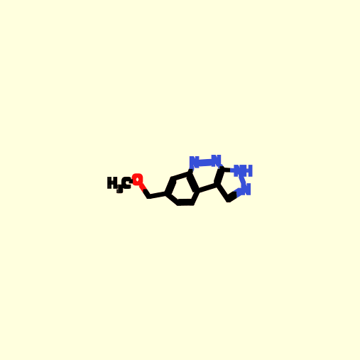 COCc1ccc2c(c1)nnc1[nH]ncc12